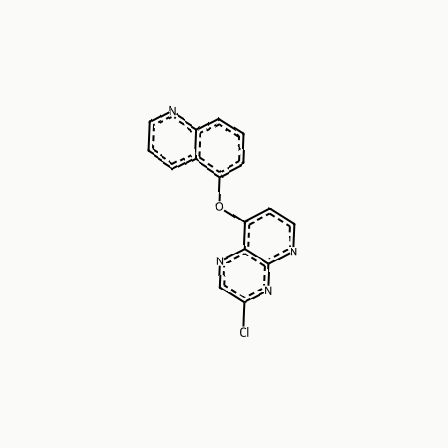 Clc1cnc2c(Oc3cccc4ncccc34)ccnc2n1